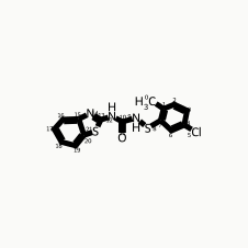 Cc1ccc(Cl)cc1SNC(=O)Nc1nc2ccccc2s1